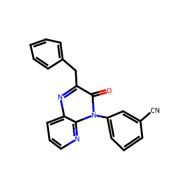 N#Cc1cccc(-n2c(=O)c(Cc3ccccc3)nc3cccnc32)c1